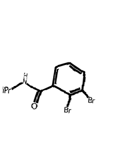 CC(C)NC(=O)c1cccc(Br)c1Br